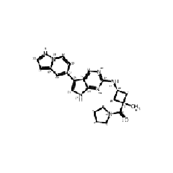 C[C@]1(C(=O)N2CCCC2)C[C@H](Nc2ncc3c(-c4ccn5nccc5c4)c[nH]c3n2)C1